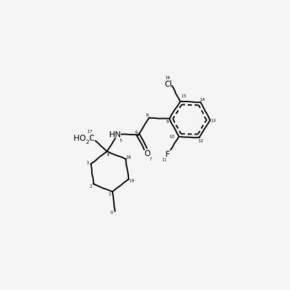 CC1CCC(NC(=O)Cc2c(F)cccc2Cl)(C(=O)O)CC1